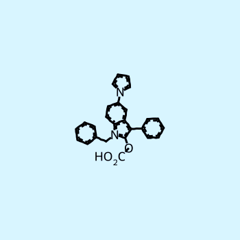 O=C(O)Oc1c(-c2ccccc2)c2cc(-n3cccc3)ccc2n1Cc1ccccc1